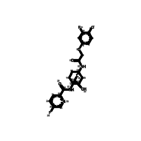 O=C(COc1ccc(Cl)c(F)c1)NC12CCC(NC(=O)c3ccc(F)cn3)(CC1)C(O)C2